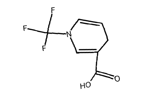 O=C(O)C1=CN(C(F)(F)F)C=CC1